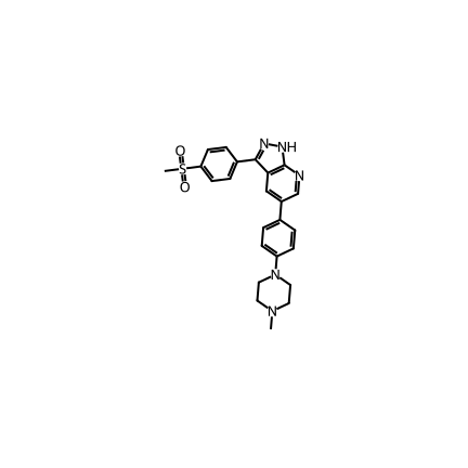 CN1CCN(c2ccc(-c3cnc4[nH]nc(-c5ccc(S(C)(=O)=O)cc5)c4c3)cc2)CC1